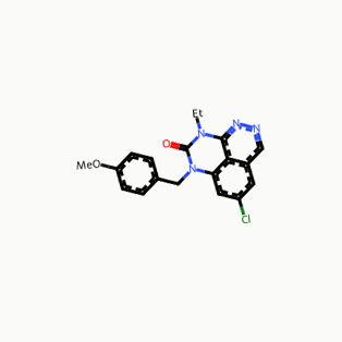 CCN1C(=O)N(Cc2ccc(OC)cc2)c2cc(Cl)cc3cnnc1c23